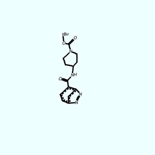 CC(C)(C)OC(=O)N1CCC(NC(=O)c2ccc3cc2N=N3)CC1